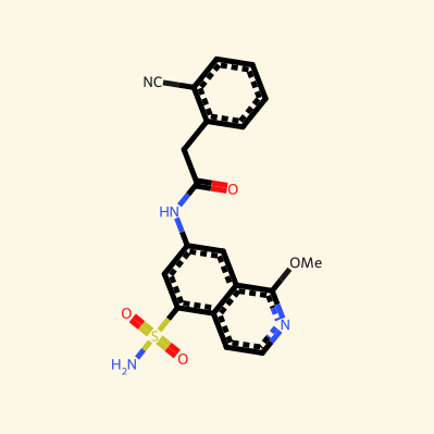 COc1nccc2c(S(N)(=O)=O)cc(NC(=O)Cc3ccccc3C#N)cc12